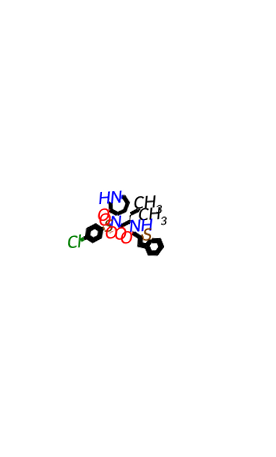 CC(C)C[C@H](NC(=O)c1cc2ccccc2s1)C(=O)N(C1CCCNCC1=O)S(=O)(=O)c1ccc(Cl)cc1